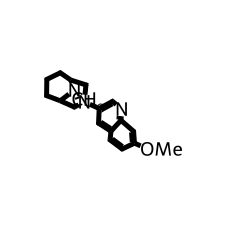 COc1ccc2cc(N3CC4CCCC(C3)N4C)cnc2c1